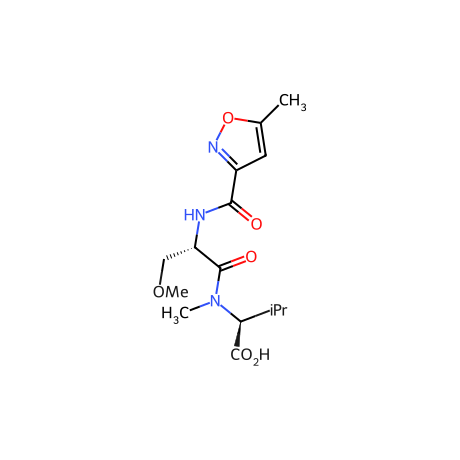 COC[C@H](NC(=O)c1cc(C)on1)C(=O)N(C)[C@H](C(=O)O)C(C)C